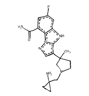 CC1(c2cnn3c2[nH]c2cc(F)cc(C(N)=O)c23)CCN(CC2(N)CC2)C1